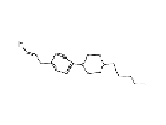 CCCCCC1CCC(c2ccc(C/C=C/F)cc2)CC1